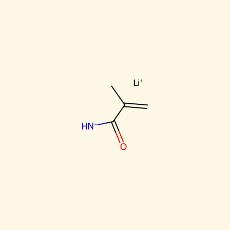 C=C(C)C([NH-])=O.[Li+]